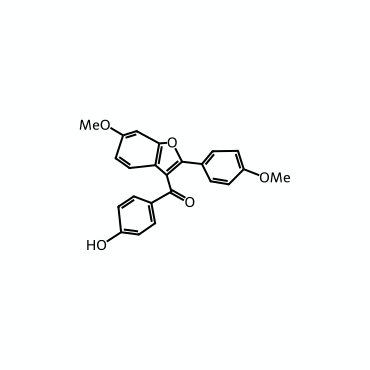 COc1ccc(-c2oc3cc(OC)ccc3c2C(=O)c2ccc(O)cc2)cc1